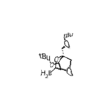 BC1O[C@@]2(COC(C)(C)C)COC1C2OC(C)(C)C